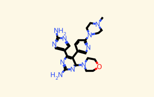 CN1CCN(c2ccc(-c3c(-c4cnc(N)nc4)nc(N)nc3N3CCOCC3)cn2)CC1